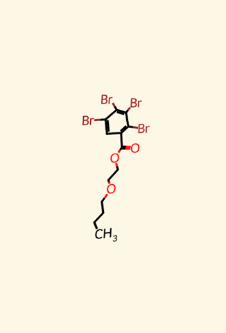 CCCCOCCOC(=O)c1cc(Br)c(Br)c(Br)c1Br